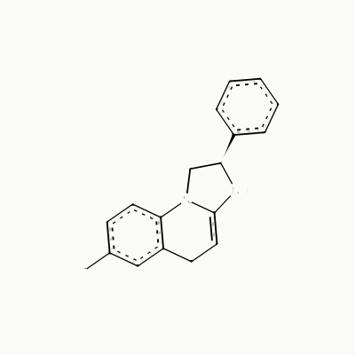 Clc1ccc2c(c1)CC=C1N[C@H](c3ccccc3)CN12